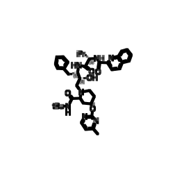 Cc1ccnc(O[C@@H]2CCN(C[C@@H](O)[C@H](Cc3ccccc3)NC(=O)[C@@H](NC(=O)c3ccc4ccccc4n3)C(C)C)C(C(=O)NC(C)(C)C)C2)n1